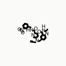 C#CCN(Cc1ccc2nc(C)[nH]c(=O)c2c1)c1ccc(C(=O)NCc2cccc([N+](=O)[O-])c2)nc1